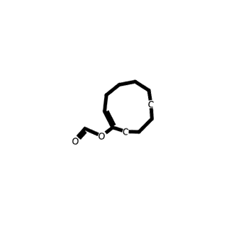 O=COC1=CCCCCCCCC1